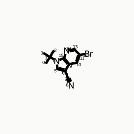 CC(C)(C)n1cc(C#N)c2cc(Br)cnc21